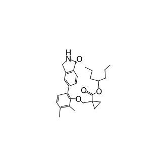 CCCC(CCC)OC(=O)C1(COc2c(-c3ccc4c(c3)CNC4=O)ccc(C)c2C)CC1